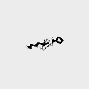 CN(CC(C)(C)CCCC=O)OC(=O)c1ccccc1